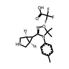 Cc1ccc(N2C(C3[C@H]4CNC[C@@H]34)=NOC2(C)C)cc1.O=C(O)C(F)(F)F